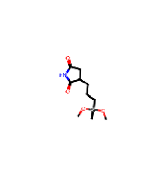 CO[Si](C)(CCCC1CC(=O)NC1=O)OC